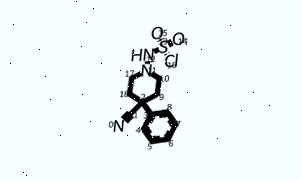 N#CC1(c2ccccc2)CCN(NS(=O)(=O)Cl)CC1